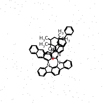 CC1CC(C)(C)c2cccc(-c3cccc(-n4c5ccccc5c5ccc6c7ccccc7n(-c7nc(-c8ccc(-c9ccccc9)cc8)nc(-c8ccc9ccccc9c8)n7)c6c54)c3)c2C1(C)C